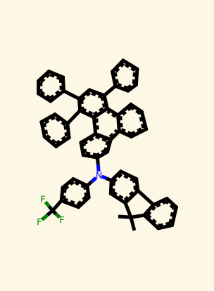 CC1(C)c2ccccc2-c2ccc(N(c3ccc(C(F)(F)F)cc3)c3ccc4c(c3)c3ccccc3c3c(-c5ccccc5)cc(-c5ccccc5)c(-c5ccccc5)c43)cc21